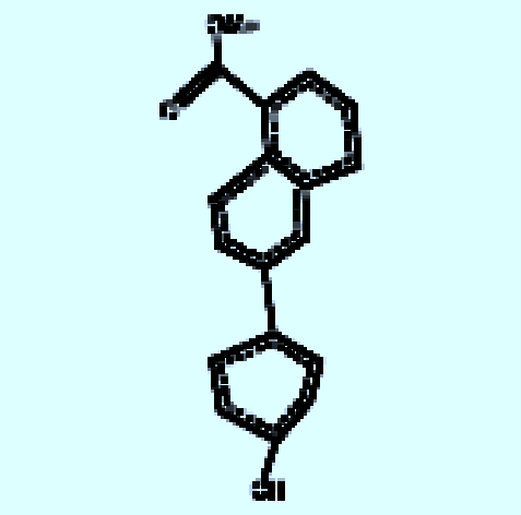 COC(=O)c1cccc2cc(-c3ccc(O)cc3)ccc12